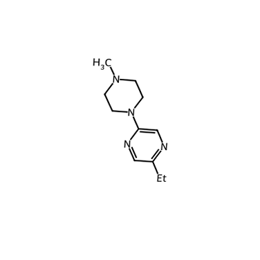 CCc1cnc(N2CCN(C)CC2)cn1